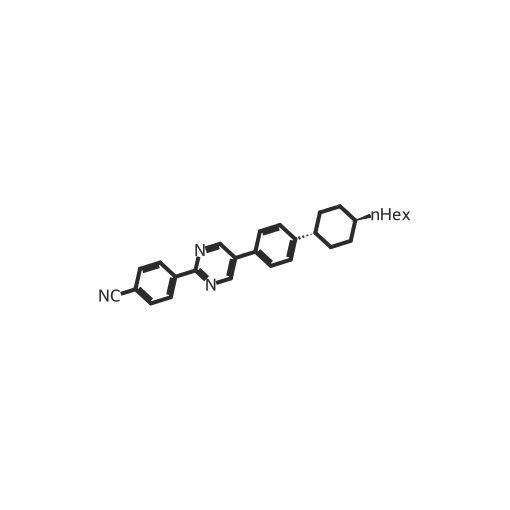 CCCCCC[C@H]1CC[C@H](c2ccc(-c3cnc(-c4ccc(C#N)cc4)nc3)cc2)CC1